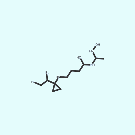 CCC(CC(C)C)C1(NCCCC(O)NC(C)NO)CC1